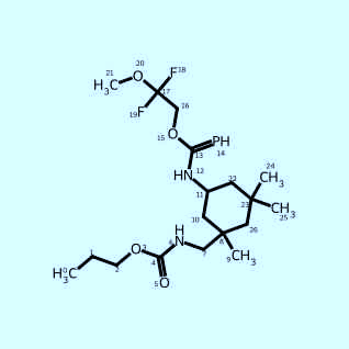 CCCOC(=O)NCC1(C)CC(NC(=P)OCC(F)(F)OC)CC(C)(C)C1